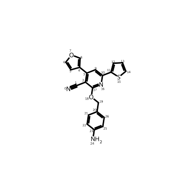 N#Cc1c(-c2ccoc2)cc(-c2cccs2)nc1OCc1ccc(N)cc1